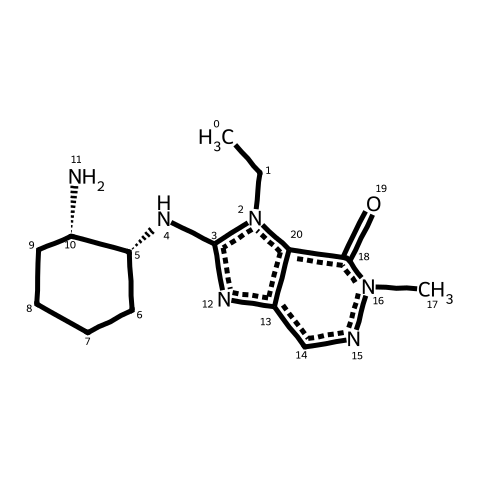 CCn1c(N[C@@H]2CCCC[C@@H]2N)nc2cnn(C)c(=O)c21